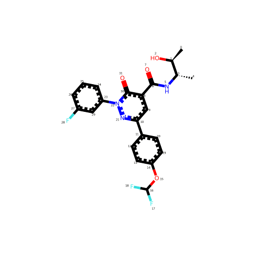 C[C@H](O)[C@H](C)NC(=O)c1cc(-c2ccc(OC(F)F)cc2)nn(-c2cccc(F)c2)c1=O